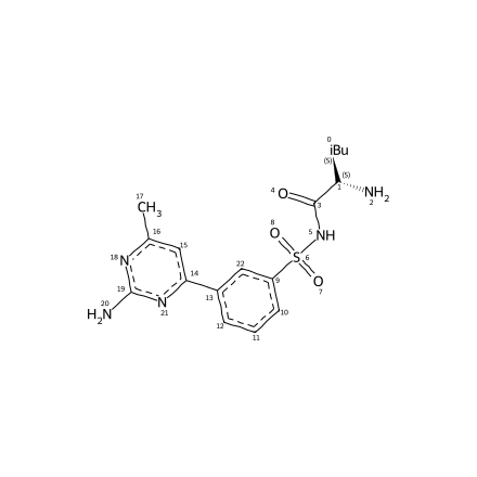 CC[C@H](C)[C@H](N)C(=O)NS(=O)(=O)c1cccc(-c2cc(C)nc(N)n2)c1